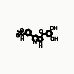 CS(=O)(=O)Nc1cccc(-c2cnc3[nH]cc(C(=O)c4cc(O)cc(O)c4)c3c2)c1